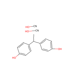 CC(c1ccc(O)cc1)c1ccc(O)cc1.N#CO.N#CO